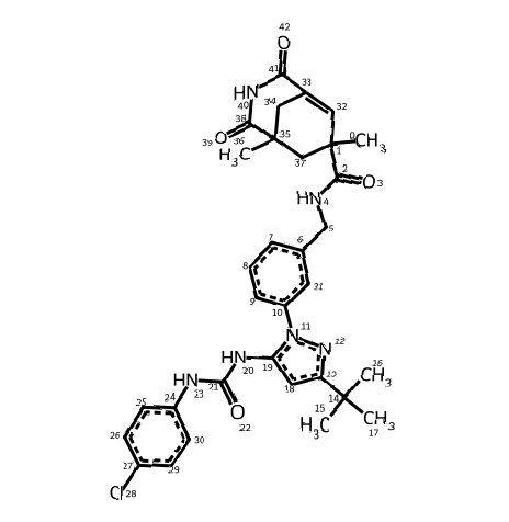 CC1(C(=O)NCc2cccc(-n3nc(C(C)(C)C)cc3NC(=O)Nc3ccc(Cl)cc3)c2)C=C2CC(C)(C1)C(=O)NC2=O